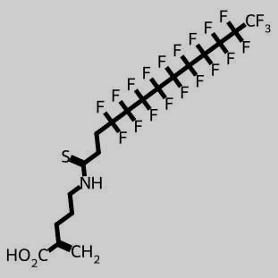 C=C(CCCNC(=S)CCC(F)(F)C(F)(F)C(F)(F)C(F)(F)C(F)(F)C(F)(F)C(F)(F)C(F)(F)C(F)(F)C(F)(F)F)C(=O)O